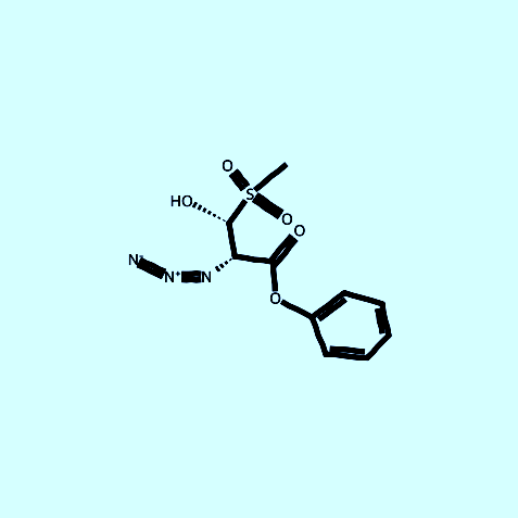 CS(=O)(=O)[C@@H](O)[C@@H](N=[N+]=[N-])C(=O)Oc1ccccc1